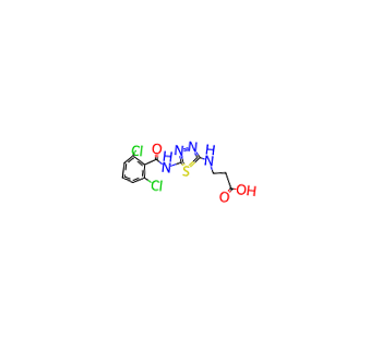 O=C(O)CCNc1nnc(NC(=O)c2c(Cl)cccc2Cl)s1